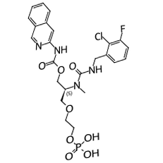 CN(C(=O)NCc1cccc(F)c1Cl)[C@@H](COCCOP(=O)(O)O)COC(=O)Nc1cc2ccccc2cn1